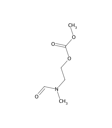 COC(=O)OCCN(C)C=O